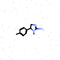 Cc1ccc(C2CN=C(N)N2C)cc1